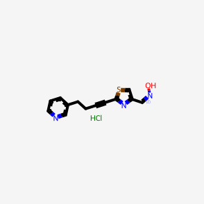 Cl.O/N=C\c1csc(C#CCCc2cccnc2)n1